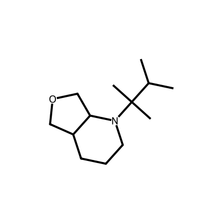 CC(C)C(C)(C)N1CCCC2COCC21